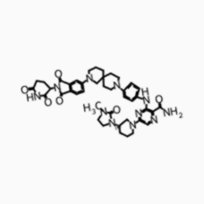 CN1CCN([C@@H]2CCCN(c3cnc(C(N)=O)c(Nc4ccc(N5CCC6(CCCN(c7ccc8c(c7)C(=O)N(C7CCC(=O)NC7=O)C8=O)C6)CC5)cc4)n3)C2)C1=O